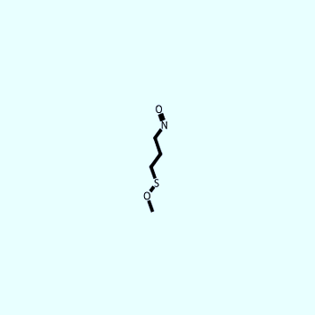 COSCCCN=O